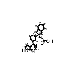 O=C(O)NCC1(c2cccc(-c3ncnc4[nH]ccc34)c2)Cc2ccccc2C1